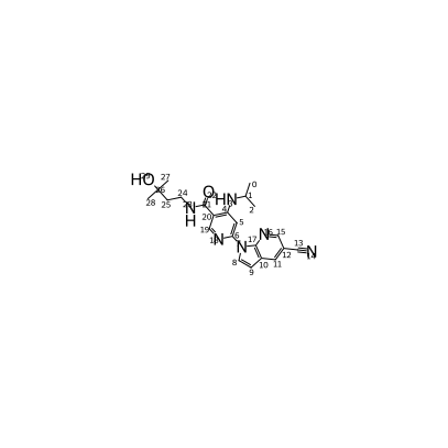 CC(C)Nc1cc(-n2ccc3cc(C#N)cnc32)ncc1C(=O)NCCC(C)(C)O